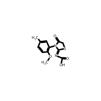 COc1ccc(C)cc1N1C(=O)CSC1=NC(=O)O